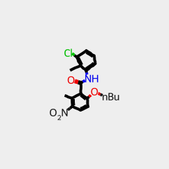 CCCCOc1ccc([N+](=O)[O-])c(C)c1C(=O)Nc1cccc(Cl)c1C